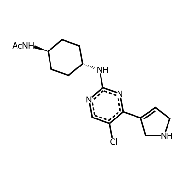 CC(=O)N[C@H]1CC[C@H](Nc2ncc(Cl)c(C3=CCNC3)n2)CC1